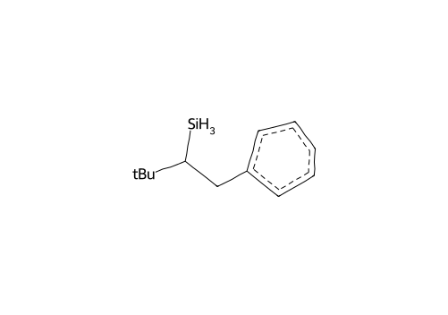 CC(C)(C)C([SiH3])Cc1ccccc1